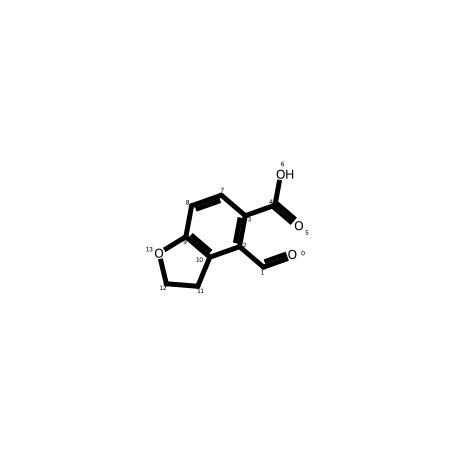 O=Cc1c(C(=O)O)ccc2c1CCO2